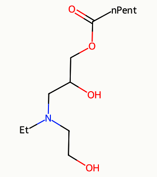 CCCCCC(=O)OCC(O)CN(CC)CCO